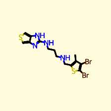 Cc1c(CNCCCNc2nc3cscc3[nH]2)sc(Br)c1Br